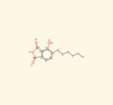 CCCCCCc1ccc2c(c1O)C(=O)OC2=O